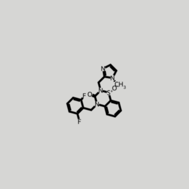 Cn1ccnc1CN1C(=O)N(Cc2c(F)cccc2F)c2ccccc2[S+]1[O-]